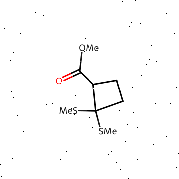 COC(=O)C1CCC1(SC)SC